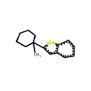 CC1(c2cc3ccccc3s2)CCCCC1